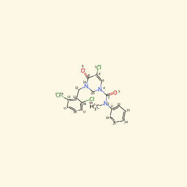 CN(C(=O)N1C=C(Cl)C(=O)N(Cc2c(Cl)cccc2Cl)C1)c1ccccc1